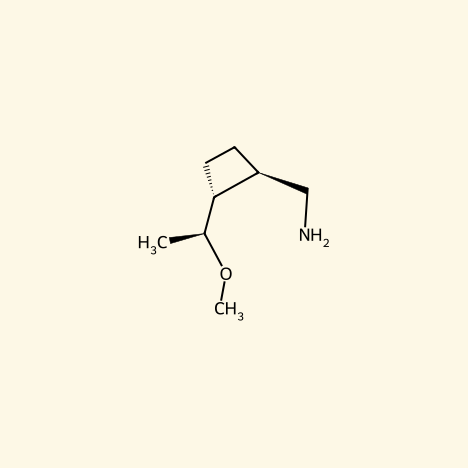 CO[C@@H](C)[C@@H]1CC[C@H]1CN